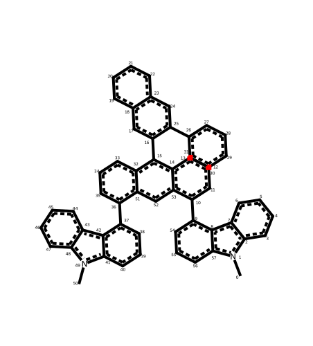 Cn1c2ccccc2c2c(-c3cccc4c(-c5cc6ccccc6cc5-c5ccccc5)c5cccc(-c6cccc7c6c6ccccc6n7C)c5cc34)cccc21